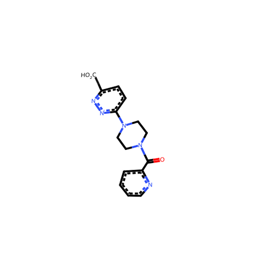 O=C(O)c1ccc(N2CCN(C(=O)c3ccccn3)CC2)nn1